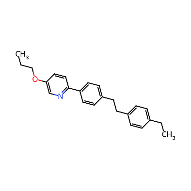 CCCOc1ccc(-c2ccc(CCc3ccc(CC)cc3)cc2)nc1